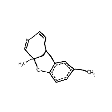 Cc1ccc2c(c1)C1C=CN=CC1(C)O2